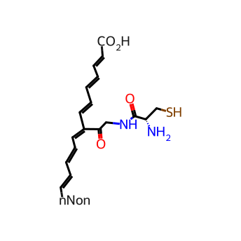 CCCCCCCCCC=CC=CC=C(C=CC=CC=CC(=O)O)C(=O)CNC(=O)[C@@H](N)CS